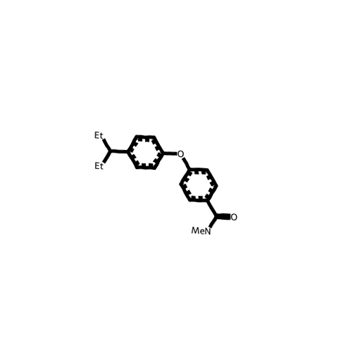 CCC(CC)c1ccc(Oc2ccc(C(=O)NC)cc2)cc1